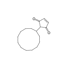 O=C1C=CC(=O)C1C1CCCCCCCCCCC1